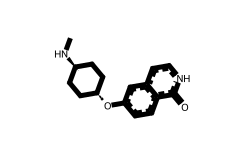 CN[C@H]1CC[C@H](Oc2ccc3c(=O)[nH]ccc3c2)CC1